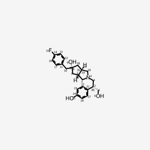 OC[C@@H](CN1C[C@@H]2C[C@@](O)(Cc3ccc(F)cc3)C[C@@H]2C1)c1ccc(O)cc1